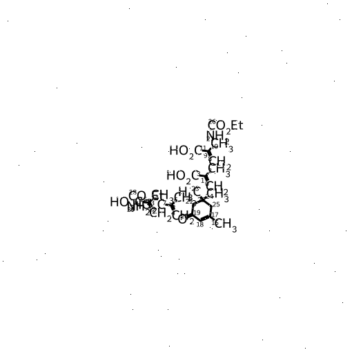 C=C(C)C(=O)O.C=C(C)C(=O)O.C=C(C)C(=O)O.C=C(C)C(=O)O.CC1=CC(=O)CC(C)(C)C1.CCOC(N)=O.CCOC(N)=O